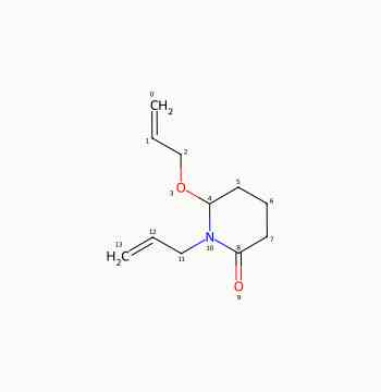 C=CCOC1CCCC(=O)N1CC=C